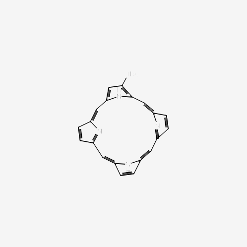 CC(C)(C)c1cc2cc3nc(cc4ccc(cc5nc(cc1[nH]2)C=C5)[nH]4)C=C3